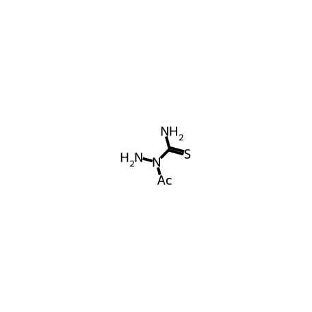 CC(=O)N(N)C(N)=S